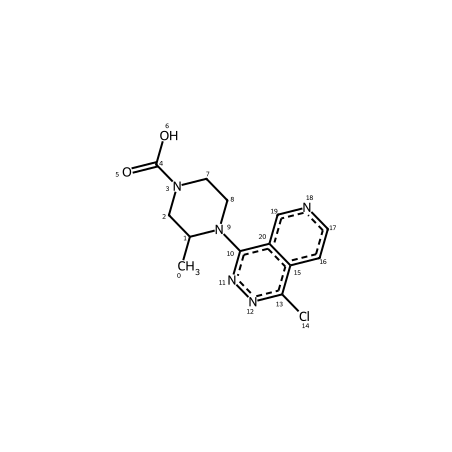 CC1CN(C(=O)O)CCN1c1nnc(Cl)c2ccncc12